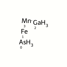 [AsH3].[Fe].[GaH3].[Mn]